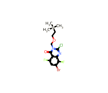 C[Si](C)(C)CCOCn1c(Cl)nc2c(F)c(Br)cc(F)c2c1=O